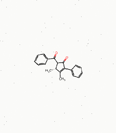 CC1=C(c2ccccc2)C(=O)C(C(=O)c2ccccc2)[C@H]1C